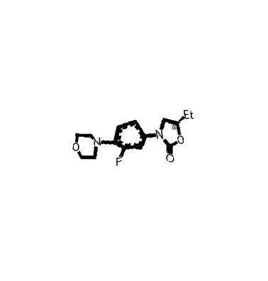 CC[C@@H]1CN(c2ccc(N3CCOCC3)c(F)c2)C(=O)O1